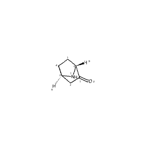 O=C1C[C@H]2CC[C@H]1N2